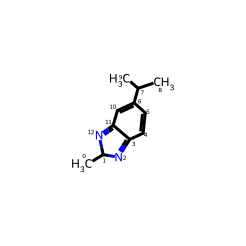 CC1N=c2ccc(C(C)C)cc2=N1